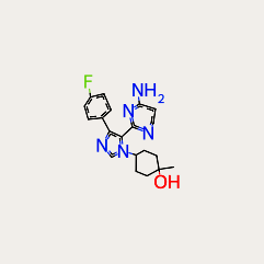 CC1(O)CCC(n2cnc(-c3ccc(F)cc3)c2-c2nccc(N)n2)CC1